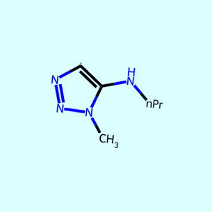 CCCNc1[c]nnn1C